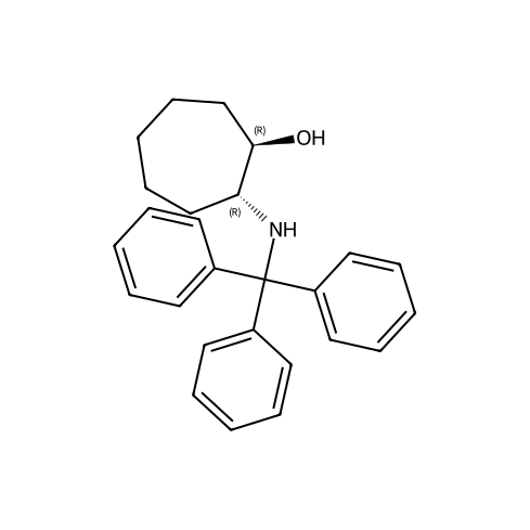 O[C@@H]1CCCCC[C@H]1NC(c1ccccc1)(c1ccccc1)c1ccccc1